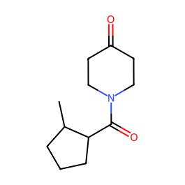 CC1CCCC1C(=O)N1CCC(=O)CC1